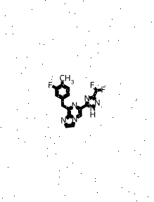 Cc1ccc(Cc2nc(-c3nc(C(F)F)n[nH]3)cn3ccnc23)cc1F